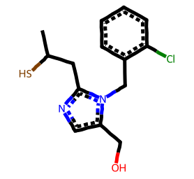 CC(S)Cc1ncc(CO)n1Cc1ccccc1Cl